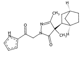 CC1=NN(CC(=O)c2ccc[nH]2)C(=O)C1(C)[C@H]1C[C@H]2CC[C@@H]1C2